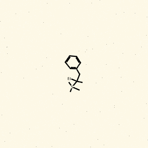 CCC(C)(Cc1ccccc1)S(C)(C)C